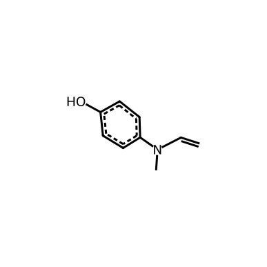 C=CN(C)c1ccc(O)cc1